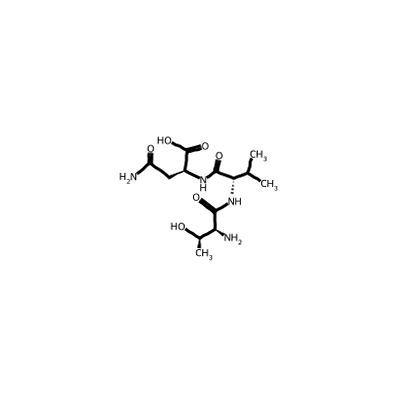 CC(C)[C@H](NC(=O)[C@@H](N)[C@@H](C)O)C(=O)N[C@@H](CC(N)=O)C(=O)O